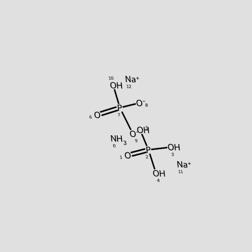 N.O=P(O)(O)O.O=P([O-])([O-])O.[Na+].[Na+]